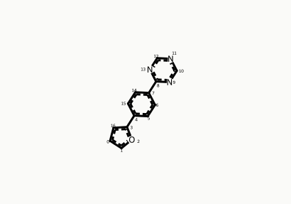 c1coc(-c2ccc(-c3ncncn3)cc2)c1